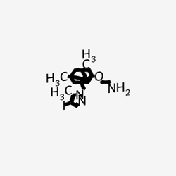 Cc1c(I)cnn1CC12CC3(C)CC(C)(C1)CC(OCCN)(C3)C2